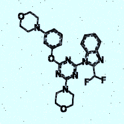 FC(F)c1nc2ccccc2n1-c1nc(Oc2cccc(N3CCOCC3)c2)nc(N2CCOCC2)n1